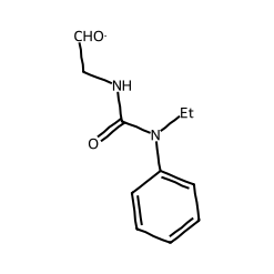 CCN(C(=O)NC[C]=O)c1ccccc1